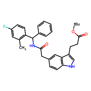 Cc1cc(F)ccc1C(NC(=O)Cc1ccc2[nH]cc(CCC(=O)OC(C)(C)C)c2c1)c1ccccc1